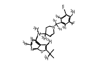 [2H]c1nc(N([2H])C2([2H])CCN(C([2H])([2H])c3c([2H])c(F)c([2H])c(F)c3[2H])CC2)c2c([2H])c(C([2H])(C)C)sc2n1